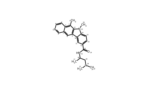 Cc1c2ccncc2cc2c3cc(C(=O)NC(C)CN(C)C)ccc3n(C)c12